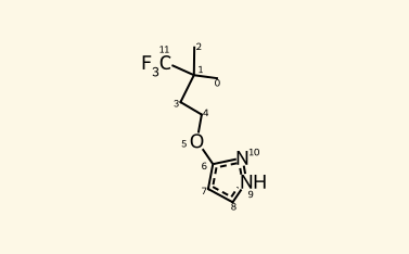 CC(C)(CCOc1cc[nH]n1)C(F)(F)F